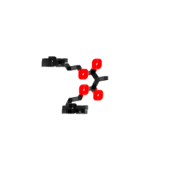 CCCCCCCCCCCCOC(=O)C(C)C(=O)OCCCCCCCCCCCC